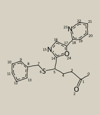 CC(=O)CCC(SCc1ccccc1)c1ncc(-c2ccccn2)o1